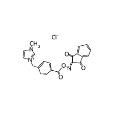 Cn1cc[n+](Cc2ccc(C(=O)ON=c3c(=O)c4ccccc4c3=O)cc2)c1.[Cl-]